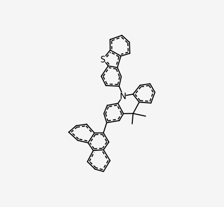 CC1(C)c2ccccc2N(c2ccc3sc4ccccc4c3c2)c2ccc(-c3cc4ccccc4c4ccccc34)cc21